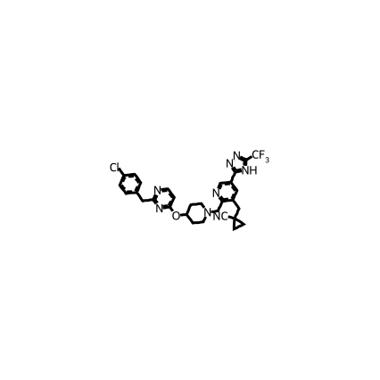 N#CC1(Cc2cc(-c3nnc(C(F)(F)F)[nH]3)cnc2CN2CCC(Oc3ccnc(Cc4ccc(Cl)cc4)n3)CC2)CC1